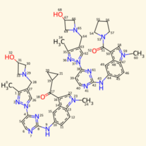 Cc1nn(-c2ccnc(Nc3ccc4c(c3)c(C(=O)C3CC3)cn4C)n2)cc1CN1CC(O)C1.Cc1nn(-c2ccnc(Nc3ccc4c(c3)c(C(=O)N3CCCC3)cn4C)n2)cc1CN1CC(O)C1